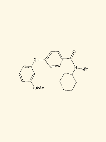 COc1cccc(Oc2ccc(C(=O)N(C(C)C)C3CCCCC3)cc2)c1